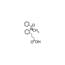 CN(C(=O)c1ccccc1)c1ccccc1CCCC(=O)O